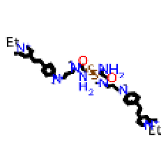 CC[n+]1ccc(/C=C/c2ccc(N(C)CCCN(C)C(=O)C(N)SSC(N)C(=O)N(C)CCCN(C)c3ccc(/C=C/c4cc[n+](CC)c(C)c4)cc3)cc2)cc1C